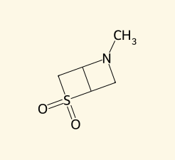 CN1CC2C1CS2(=O)=O